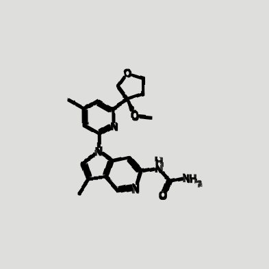 CO[C@]1(c2cc(C)cc(-n3cc(C)c4cnc(NC(N)=O)cc43)n2)CCOC1